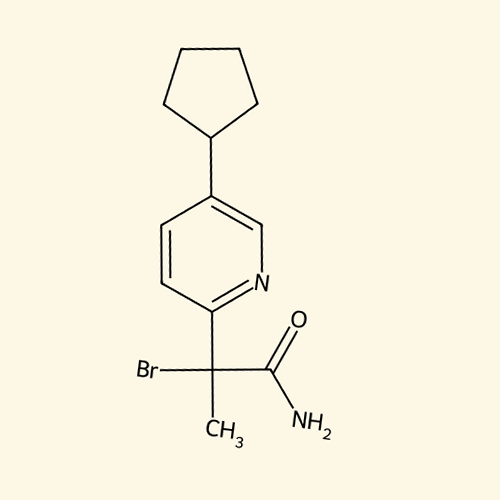 CC(Br)(C(N)=O)c1ccc(C2CCCC2)cn1